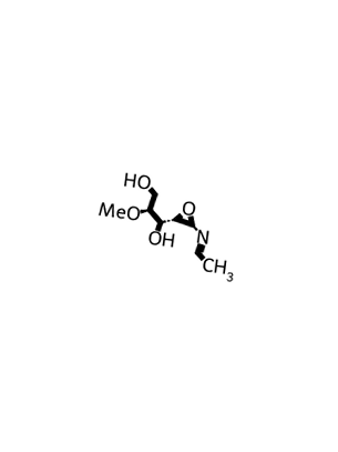 C/C=N/[C@H]1O[C@H]1C(O)[C@H](CO)OC